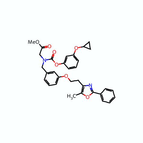 COC(=O)CN(Cc1cccc(OCCc2nc(-c3ccccc3)oc2C)c1)C(=O)Oc1cccc(OC2CC2)c1